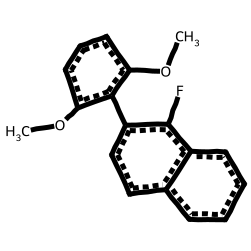 COc1cccc(OC)c1-c1ccc2ccccc2c1F